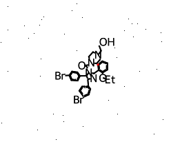 CCOc1ccccc1C1=NC(c2ccc(Br)cc2)C(c2ccc(Br)cc2)N1C(=O)N1CCN(CCO)CC1